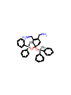 CC(C)(C)[Si](OC1(O[Si](c2ccccc2)(c2ccccc2)C(C)(C)C)C=CC(CN)=C(CN)C1)(c1ccccc1)c1ccccc1